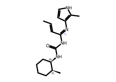 CC=C/C(=N\c1cc[nH]c1C)NC(=O)N[C@@H]1CCCC[C@@H]1C